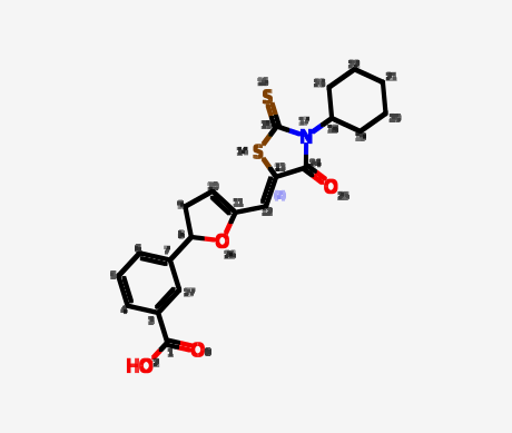 O=C(O)c1cccc(C2CC=C(/C=C3\SC(=S)N(C4CCCCC4)C3=O)O2)c1